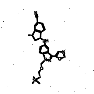 CC1CC(Nc2ccc3c(c2)c(-c2cnco2)nn3COCC[Si](C)(C)C)c2ccc(C#N)cc21